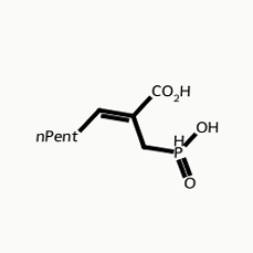 CCCCCC=C(C[PH](=O)O)C(=O)O